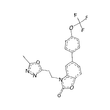 Cc1nnc(CCn2c(=O)oc3ccc(-c4ccc(OC(F)(F)F)cc4)cc32)o1